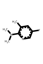 Cc1cc(F)cnc1N(C)C